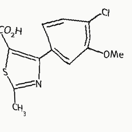 COc1cc(-c2nc(C)sc2C(=O)O)ccc1Cl